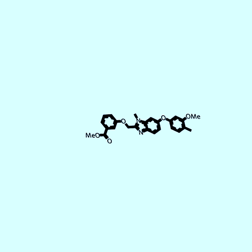 COC(=O)c1cccc(OCc2nc3ccc(Oc4ccc(C)c(OC)c4)cc3n2C)c1